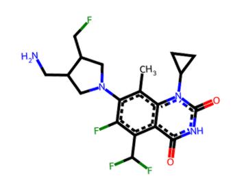 Cc1c(N2CC(CN)C(CF)C2)c(F)c(C(F)F)c2c(=O)[nH]c(=O)n(C3CC3)c12